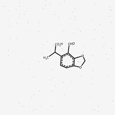 CC(C(=O)O)c1ccc2c(c1C=O)OCO2